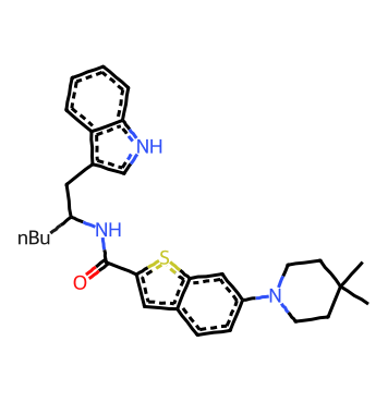 CCCCC(Cc1c[nH]c2ccccc12)NC(=O)c1cc2ccc(N3CCC(C)(C)CC3)cc2s1